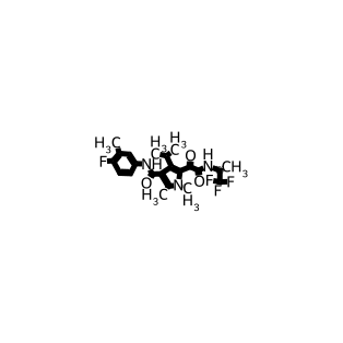 Cc1cc(NC(=O)c2c(C(C)C)c(C(=O)C(=O)N[C@H](C)C(F)(F)F)n(C)c2C)ccc1F